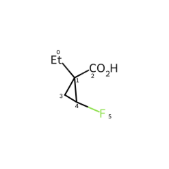 CCC1(C(=O)O)CC1F